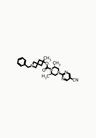 C[C@@H]1CN(c2ncc(C#N)cn2)C[C@@H](C)N1C(=O)OC1(C)CC2(CN(Cc3ccccc3)C2)C1